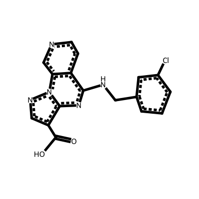 O=C(O)c1cnn2c1nc(NCc1cccc(Cl)c1)c1ccncc12